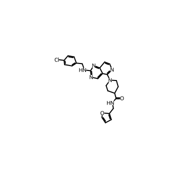 O=C(NCc1ccco1)C1CCN(c2nccc3nc(NCc4ccc(Cl)cc4)ncc23)CC1